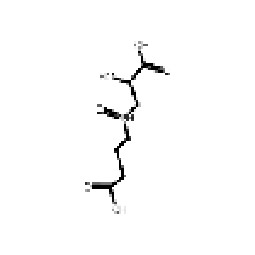 O=C(O)CCC[PH](=O)CC(O)C(=O)O